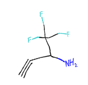 C#CC(N)C(F)(F)F